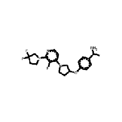 CC(N)c1ccc(OC2CCN(c3ccnc(N4CCC(F)(F)C4)c3F)C2)cc1